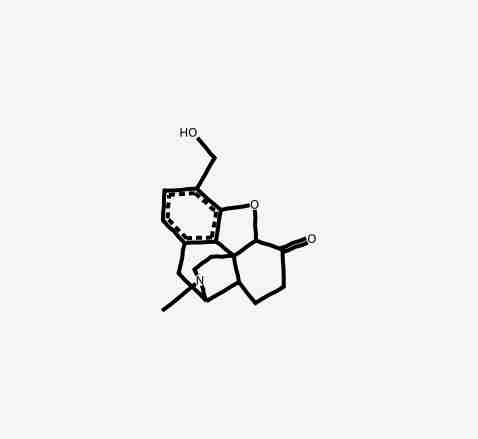 CN1CCC23c4c5ccc(CO)c4OC2C(=O)CCC3C1C5